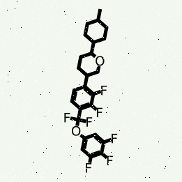 CC1CCC(C2CCC(c3ccc(C(F)(F)Oc4cc(F)c(F)c(F)c4)c(F)c3F)CO2)CC1